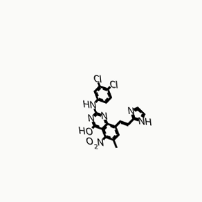 Cc1cc(C=Cc2ncc[nH]2)c2nc(Nc3ccc(Cl)c(Cl)c3)nc(O)c2c1[N+](=O)[O-]